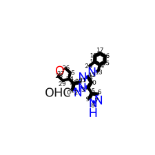 O=Cc1nn2c(-c3cn[nH]c3)cc(N3Cc4ccccc4C3)nc2c1C1CCOCC1